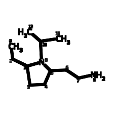 CCC1CCC(CCN)N1C(C)C